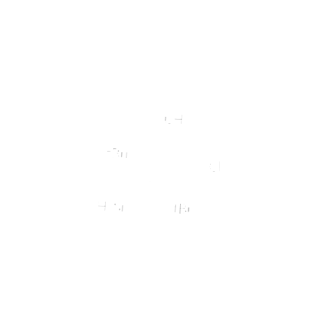 CC(Cl)C([SiH3])(C(C)(C)C)C(C)(C)C